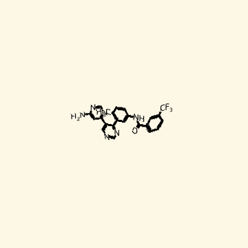 Cc1ccc(NC(=O)c2cccc(C(F)(F)F)c2)cc1-c1ncncc1-c1cc(N)ncn1